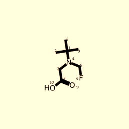 CC(C)(C)N(CF)CC(=O)O